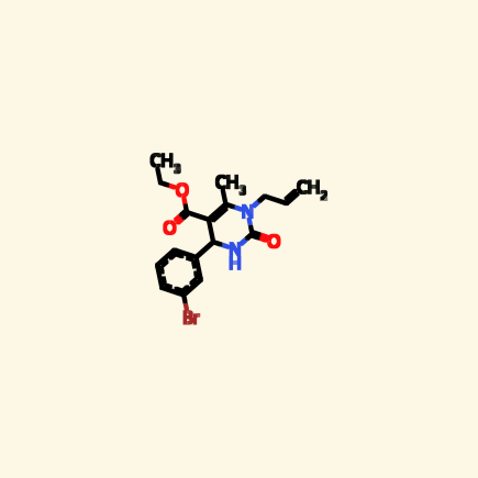 C=CCN1C(=O)NC(c2cccc(Br)c2)C(C(=O)OCC)=C1C